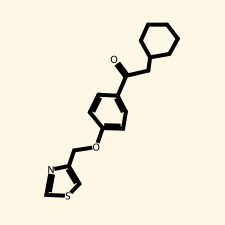 O=C(CC1CCCCC1)c1ccc(OCc2cscn2)cc1